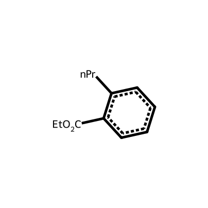 CCCc1ccccc1C(=O)OCC